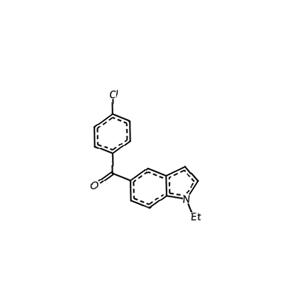 CCn1ccc2cc(C(=O)c3ccc(Cl)cc3)ccc21